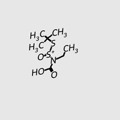 CCN(C(=O)O)[S+]([O-])SC(C)(C)C